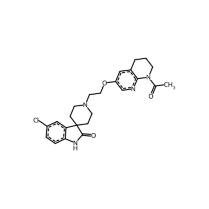 CC(=O)N1CCCc2cc(OCCN3CCC4(CC3)C(=O)Nc3ccc(Cl)cc34)cnc21